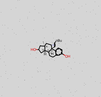 CCCC/C=C/[C@]12CC[C@]3(C)CC(O)C[C@H]3[C@@H]1CCc1cc(O)ccc12